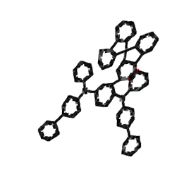 c1ccc(-c2ccc(N(c3ccccc3)c3ccc(N(c4ccccc4)c4ccc(-c5ccccc5)cc4)c(-c4ccc5c(c4)C4(c6ccccc6-c6ccccc64)c4ccccc4-5)c3)cc2)cc1